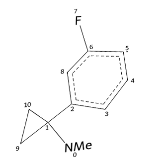 CNC1(c2cc[c]c(F)c2)CC1